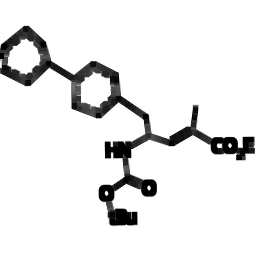 CCOC(=O)/C(C)=C/C(Cc1ccc(-c2ccccc2)cc1)NC(=O)OC(C)(C)C